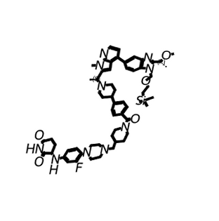 CO[C@H](C)c1nc2cc(-c3ccnc4c3cc([C@H](C)N3CCC(c5ccc(C(=O)N6CCC(CN7CCN(c8ccc(NC9CCC(=O)NC9=O)cc8F)CC7)CC6)cc5)CC3)n4C)ccc2n1COCC[Si](C)(C)C